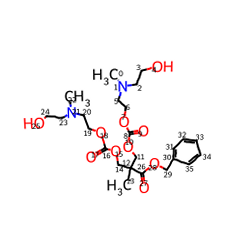 CN(CCO)CCOC(=O)OCC(C)(COC(=O)OCCN(C)CCO)C(=O)OCc1ccccc1